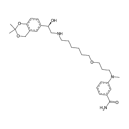 CN(CCCOCCCCCCNC[C@H](O)c1ccc2c(c1)COC(C)(C)O2)c1cccc(C(N)=O)c1